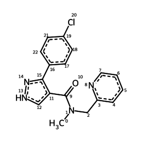 CN(Cc1ccccn1)C(=O)c1c[nH]nc1-c1ccc(Cl)cc1